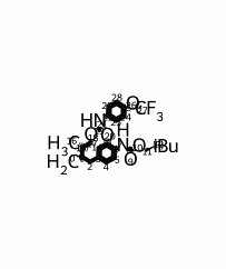 C=C(Cc1ccc(NC(=O)OC[C@H](C)CC)cc1)[C@@H](C)COC(=O)Nc1ccc(OC(F)(F)F)cc1